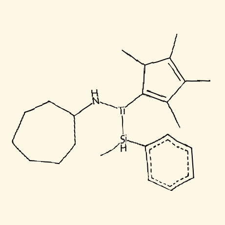 CC1=C(C)C(C)[C]([Ti]([NH]C2CCCCCC2)[SiH](C)c2ccccc2)=C1C